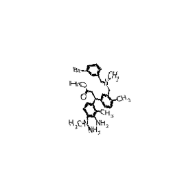 Cc1ccc(C(CC(=O)O)c2ccc(N(C)N)c(N)c2C)cc1CN(C)Cc1cccc(Br)c1